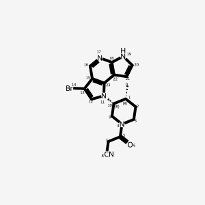 C[C@@H]1CCN(C(=O)CC#N)C[C@@H]1n1cc(Br)c2cnc3[nH]ccc3c21